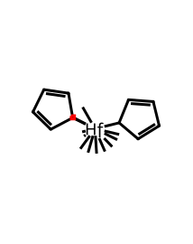 [CH3][Hf]([CH3])([CH3])([CH3])([CH3])([CH3])([CH3])([CH3])([CH3])([CH3])([CH3])([CH]1C=CC=C1)[CH]1C=CC=C1